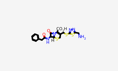 NCc1nnc(SCC2=C(C(=O)O)N3C(=O)C(NC(=O)Cc4ccccc4)[C@H]3SC2)s1